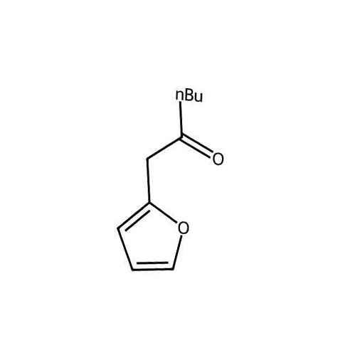 CCCCC(=O)Cc1ccco1